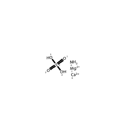 N.O=S(=O)(O)O.[Ca+2].[Mg+2]